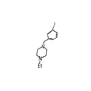 CCN1CCN(Cc2cccc(I)c2)CC1